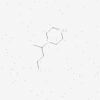 CCCCCCCC(C)N1CCNCC1